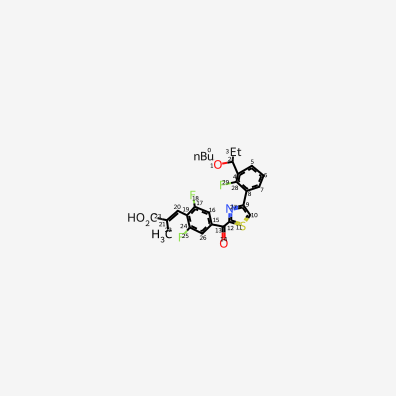 CCCCOC(CC)c1cccc(-c2csc(C(=O)c3cc(F)c(C=C(C)C(=O)O)c(F)c3)n2)c1F